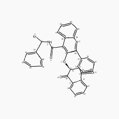 CCC(NC(=O)c1c(O[C@H]2CC(=O)c3ccccc3C2=O)c(-c2ccccc2)nc2ccccc12)c1ccccc1